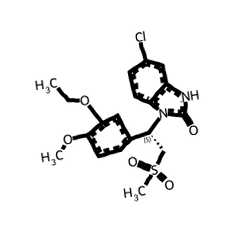 CCOc1cc([C@@H](CS(C)(=O)=O)n2c(=O)[nH]c3cc(Cl)ccc32)ccc1OC